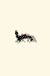 CC(C)C1=C2[C@H]3CC[C@@H]4[C@@]5(C)CC[C@H](OC(=O)CC(C)(C)C(=O)OC(C)(C)C)C(C)(C)[C@@H]5CC[C@@]4(C)[C@]3(C)CC[C@@]2(c2cnc(-c3ccc(Cl)cc3)o2)CC1=O